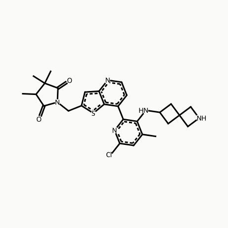 Cc1cc(Cl)nc(-c2ccnc3cc(CN4C(=O)C(C)C(C)(C)C4=O)sc23)c1NC1CC2(CNC2)C1